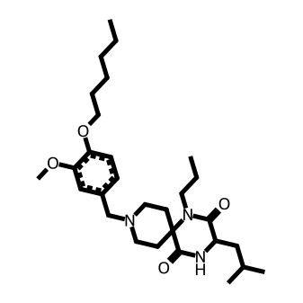 CCCCCCOc1ccc(CN2CCC3(CC2)C(=O)NC(CC(C)C)C(=O)N3CCC)cc1OC